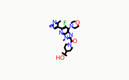 Cc1nn(C)cc1-c1nc2c(nc(C(=O)N3CCC(C(C)(C)O)CC3)n2C)c(N2CCOCC2)c1F